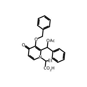 CCC(C(=O)O)n1ccc(=O)c(OCc2ccccc2)c1C(OC(C)=O)c1ccccc1